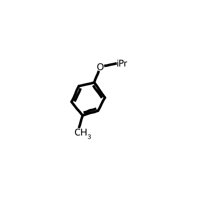 Cc1ccc(OC(C)C)cc1